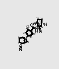 N#C[C@@H]1CCC2CC1CN2c1ccc(C(=O)N[C@@H]2C[C@@H]3CC[C@H]2N3C#N)c(Cl)c1